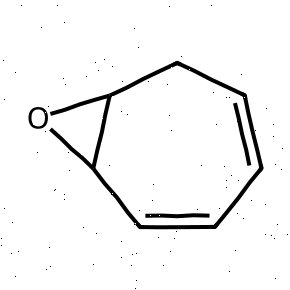 C1=CCC2OC2C=C1